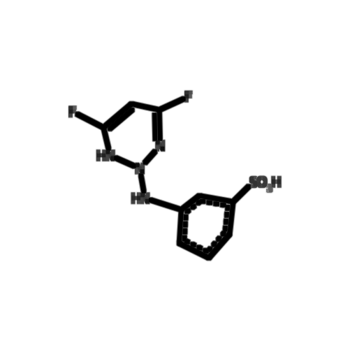 O=S(=O)(O)c1cccc(NN2N=C(F)C=C(F)N2)c1